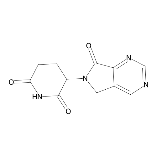 O=C1CCC(N2Cc3cncnc3C2=O)C(=O)N1